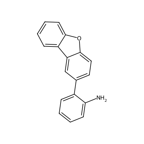 Nc1ccccc1-c1ccc2oc3ccccc3c2c1